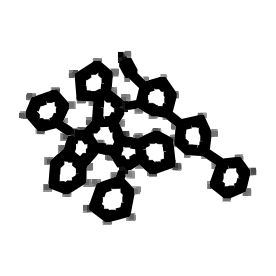 N#Cc1ccc(-c2ccc(-c3ccccc3)cc2)cc1-n1c2ccccc2c2c3c(c4ccccc4n3-c3ccccc3)c3c(c4ccccc4n3-c3ccccc3)c21